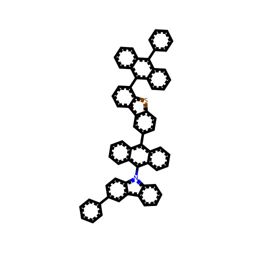 c1ccc(-c2ccc3c(c2)c2ccccc2n3-c2c3ccccc3c(-c3ccc4sc5c(-c6c7ccccc7c(-c7ccccc7)c7ccccc67)cccc5c4c3)c3ccccc23)cc1